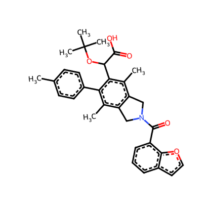 Cc1ccc(-c2c(C)c3c(c(C)c2C(OC(C)(C)C)C(=O)O)CN(C(=O)c2cccc4ccoc24)C3)cc1